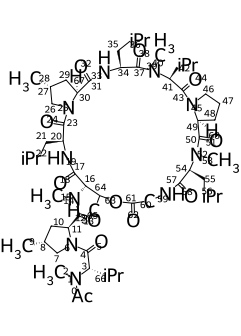 CC(=O)N(C)[C@H](C(=O)N1C[C@H](C)C[C@H]1C(=O)N(C)[C@@H]1C(=O)N[C@@H](CC(C)C)C(=O)N2C[C@H](C)C[C@H]2C(=O)N[C@@H](CC(C)C)C(=O)N(C)[C@@H](C(C)C)C(=O)N2CCC[C@H]2C(=O)N(C)[C@@H](CC(C)C)C(=O)NCC(=O)OC1C)C(C)C